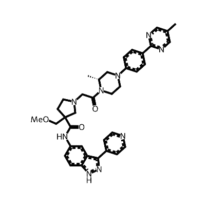 COCC1(C(=O)Nc2ccc3[nH]nc(-c4ccncc4)c3c2)CCN(CC(=O)N2CCN(c3ccc(-c4ncc(C)cn4)cc3)C[C@H]2C)C1